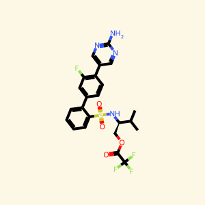 CC(C)[C@@H](COC(=O)C(F)(F)F)NS(=O)(=O)c1ccccc1-c1ccc(-c2cnc(N)nc2)c(F)c1